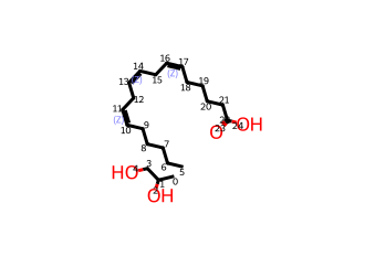 CC(O)CO.CCCCC/C=C\C/C=C\C/C=C\CCCCC(=O)O